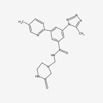 Cc1ccc(-c2cc(C(=O)NCN3CCNC(=O)C3)cc(-n3nnnc3C)c2)nc1